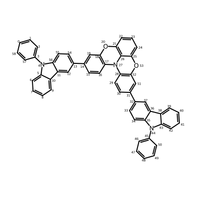 c1ccc(-n2c3ccccc3c3cc(-c4ccc5c(c4)Oc4cccc6c4N5c4ccc(-c5ccc7c(c5)c5ccccc5n7-c5ccccc5)cc4O6)ccc32)cc1